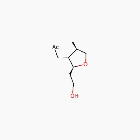 CC(=O)C[C@H]1[C@H](CCO)OC[C@@H]1C